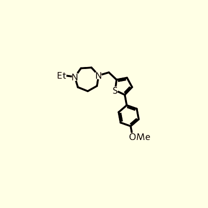 CCN1CCCN(Cc2ccc(-c3ccc(OC)cc3)s2)CC1